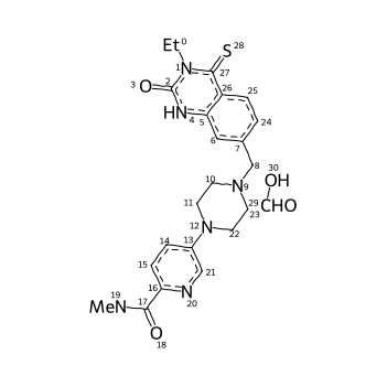 CCn1c(=O)[nH]c2cc(CN3CCN(c4ccc(C(=O)NC)nc4)CC3)ccc2c1=S.O=CO